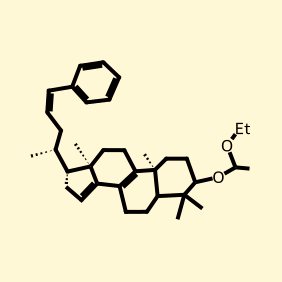 CCOC(C)OC1CC[C@]2(C)C3=C(CCC2C1(C)C)C1=CC[C@H]([C@H](C)C/C=C\c2ccccc2)[C@@]1(C)CC3